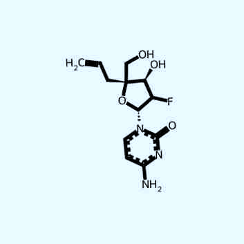 C=CC[C@]1(CO)O[C@@H](n2ccc(N)nc2=O)C(F)[C@@H]1O